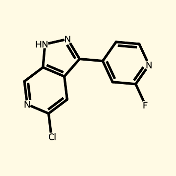 Fc1cc(-c2n[nH]c3cnc(Cl)cc23)ccn1